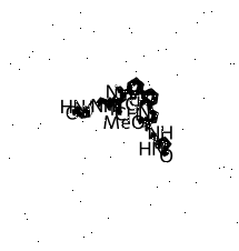 COc1nc(-c2cccc(-c3cccc(-c4cnc5c(CNC[C@@H]6CCC(=O)N6)cn(C)c5c4)c3Cl)c2Cl)ccc1CNC[C@@H]1CCC(=O)N1